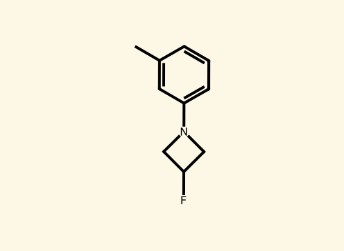 Cc1cccc(N2CC(F)C2)c1